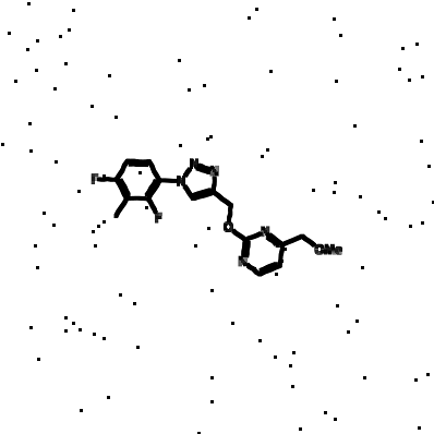 COCc1ccnc(OCc2cn(-c3ccc(F)c(C)c3F)nn2)n1